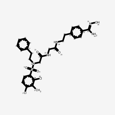 Cc1c(Cl)ccc(S(=O)(=O)N(CCc2ccccc2)CC(=O)NCC(=O)NCCc2ccc(C(N)=NO)cc2)c1Cl